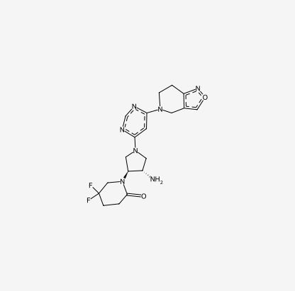 N[C@H]1CN(c2cc(N3CCc4nocc4C3)ncn2)C[C@@H]1N1CC(F)(F)CCC1=O